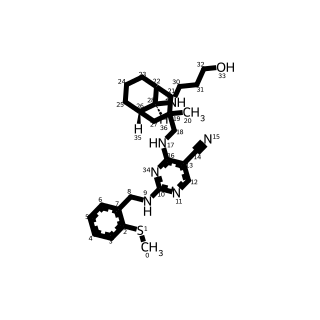 CSc1ccccc1CNc1ncc(C#N)c(NCC2(C)CC3CCC[C@@H](C2)[C@@H]3NCCCO)n1